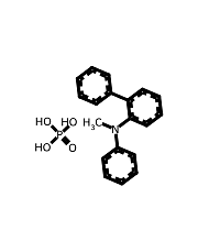 CN(c1ccccc1)c1ccccc1-c1ccccc1.O=P(O)(O)O